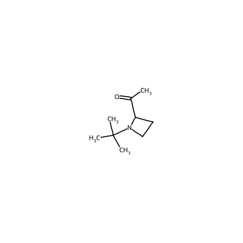 CC(=O)C1CCN1C(C)(C)C